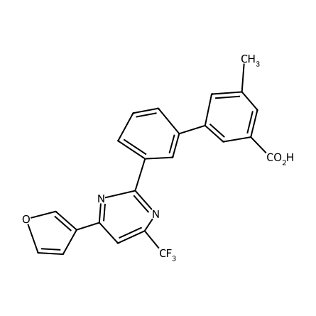 Cc1cc(C(=O)O)cc(-c2cccc(-c3nc(-c4ccoc4)cc(C(F)(F)F)n3)c2)c1